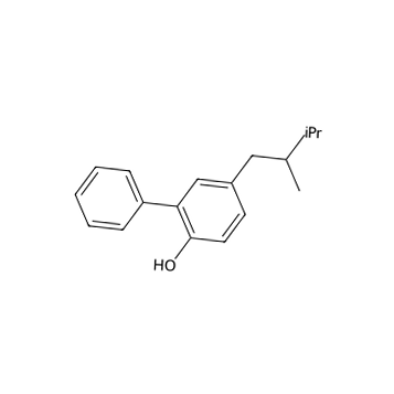 CC(C)C(C)Cc1ccc(O)c(-c2ccccc2)c1